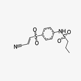 CCCS(=O)(=O)Nc1ccc(S(=O)(=O)C=CC#N)cc1